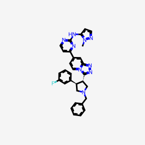 Cn1nccc1Nc1nccc(-c2ccn3c([C@@H]4CN(Cc5ccccc5)C[C@H]4c4cccc(F)c4)nnc3c2)n1